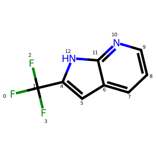 FC(F)(F)c1cc2cccnc2[nH]1